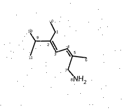 CC/C(=C\C=C(\C)CN)C(C)C